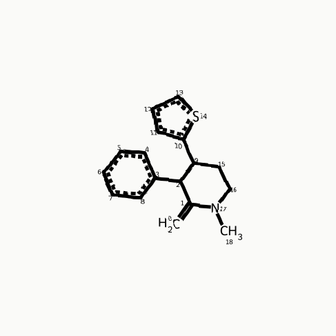 C=C1C(c2ccccc2)C(c2cccs2)CCN1C